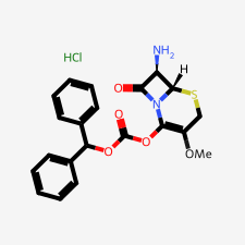 COC1=C(OC(=O)OC(c2ccccc2)c2ccccc2)N2C(=O)[C@@H](N)[C@@H]2SC1.Cl